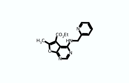 CCOC(=O)c1c(C)oc2ncnc(NCc3ccccn3)c12